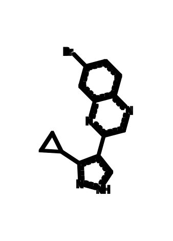 Brc1ccc2ncc(-c3c[nH]nc3C3CC3)nc2c1